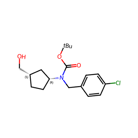 CC(C)(C)OC(=O)N(Cc1ccc(Cl)cc1)[C@@H]1CC[C@H](CO)C1